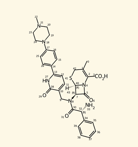 CC1=C(C(=O)O)N2C(=O)[C@@H](N(Cc3ccc(-c4ccc(N5CCN(C)CC5)cc4)[nH]c3=O)C(=O)[C@H](N)c3ccccc3)[C@H]2SC1